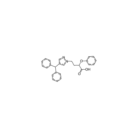 O=C(O)C(CCn1cc(C(c2ccccc2)c2ccccc2)cn1)Oc1ccccc1